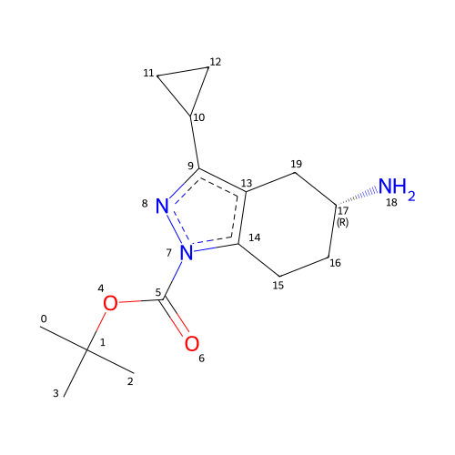 CC(C)(C)OC(=O)n1nc(C2CC2)c2c1CC[C@@H](N)C2